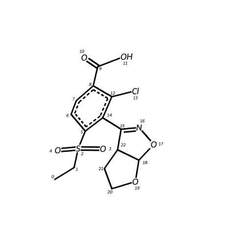 CCS(=O)(=O)c1ccc(C(=O)O)c(Cl)c1C1=NOC2OCCC12